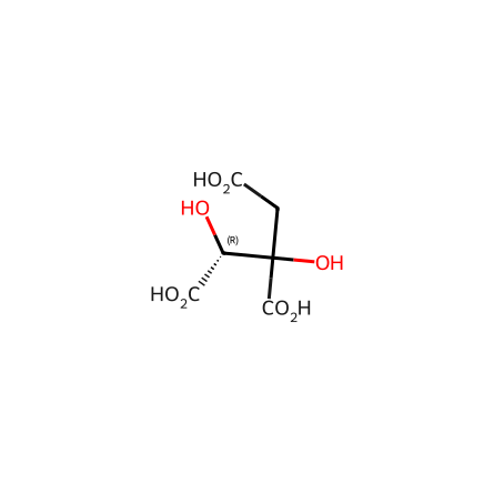 O=C(O)CC(O)(C(=O)O)[C@@H](O)C(=O)O